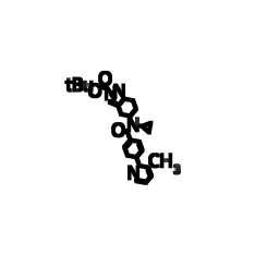 Cc1cccnc1C1C=CC(C(=O)N(C2CC2)C2CCc3nn(C(=O)OC(C)(C)C)cc3C2)=CC1